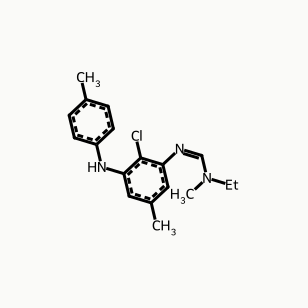 CCN(C)/C=N\c1cc(C)cc(Nc2ccc(C)cc2)c1Cl